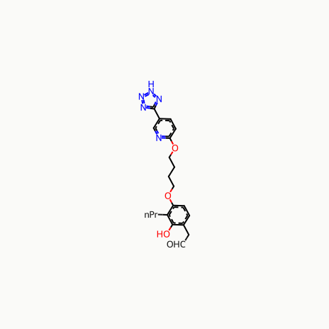 CCCc1c(OCCCCOc2ccc(-c3nn[nH]n3)cn2)ccc(CC=O)c1O